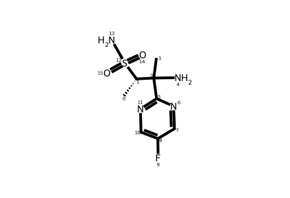 C[C@@H](C(C)(N)c1ncc(F)cn1)S(N)(=O)=O